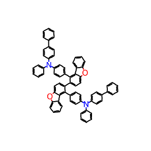 c1ccc(-c2ccc(N(c3ccccc3)c3ccc(-c4c(-c5ccc6oc7ccccc7c6c5-c5ccc(N(c6ccccc6)c6ccc(-c7ccccc7)cc6)cc5)ccc5oc6ccccc6c45)cc3)cc2)cc1